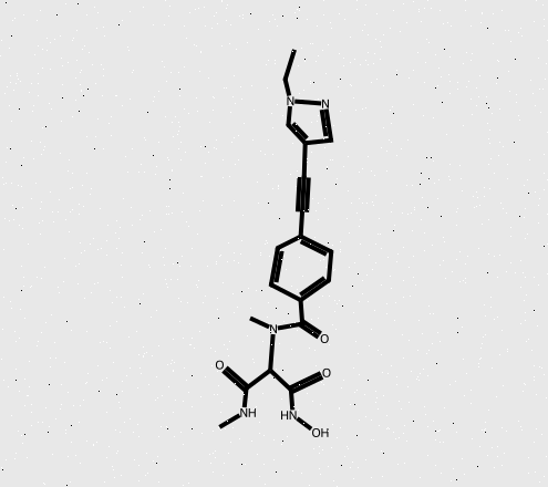 CCn1cc(C#Cc2ccc(C(=O)N(C)C(C(=O)NC)C(=O)NO)cc2)cn1